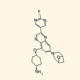 N[C@H]1CC[C@@H](Oc2cc(N3CC4CC(C3)O4)cc3nc(-c4cnc(F)nc4)cnc23)CC1